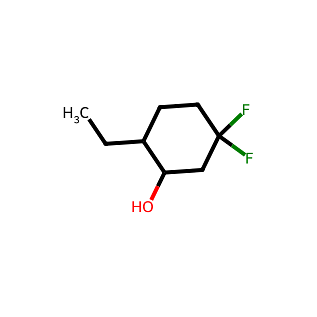 CCC1CCC(F)(F)CC1O